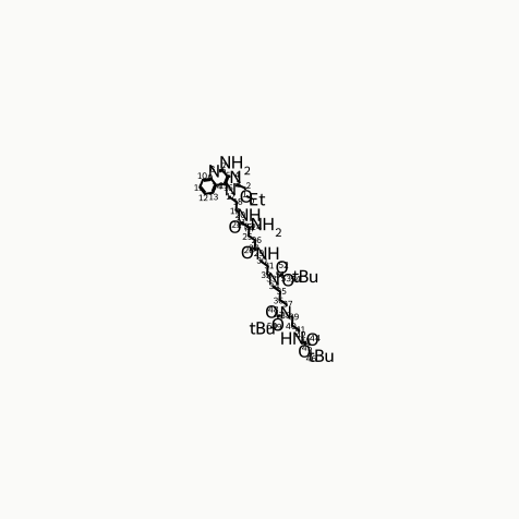 CCOCc1nc2c(N)nc3ccccc3c2n1CCCNC(=O)[C@@H](N)CCC(=O)NCCCN(CCCCN(CCCNC(=O)OC(C)(C)C)C(=O)OC(C)(C)C)C(=O)OC(C)(C)C